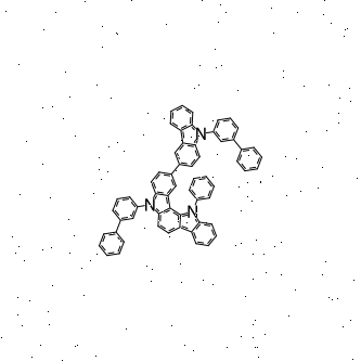 c1ccc(-c2cccc(-n3c4ccccc4c4cc(-c5ccc6c(c5)c5c(ccc7c8ccccc8n(-c8ccccc8)c75)n6-c5cccc(-c6ccccc6)c5)ccc43)c2)cc1